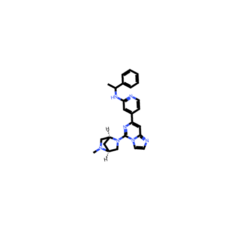 CC(Nc1cc(-c2cc3nccn3c(N3C[C@@H]4C[C@H]3CN4C)n2)ccn1)c1ccccc1